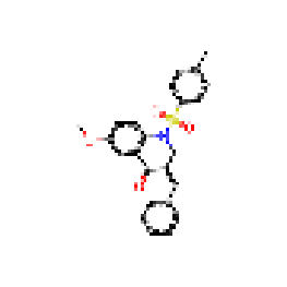 COc1ccc2c(c1)C(=O)C(=Cc1ccccc1)CN2S(=O)(=O)c1ccc(C)cc1